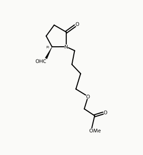 COC(=O)COCCCCN1C(=O)CC[C@@H]1C=O